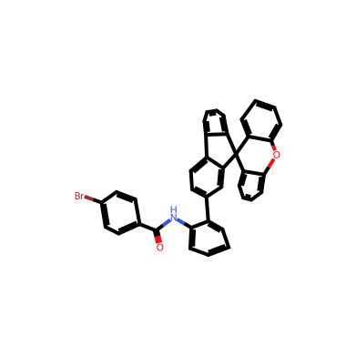 O=C(Nc1ccccc1-c1ccc2c(c1)C1(c3ccccc3Oc3ccccc31)c1ccccc1-2)c1ccc(Br)cc1